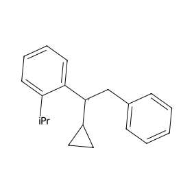 CC(C)c1ccccc1[C](Cc1ccccc1)C1CC1